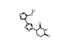 CCOc1cscc1-c1cn(C2CCC(=O)NC2=O)nn1